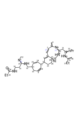 C=C1/C=C\C2=CC(C3C#CCC(CN/C(CCNC(=O)CC)=N\C)C=C3)CC[C@H]2CN/C(CN(CCC)NC(=C)CC)=N\1